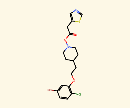 O=C(Cc1cncs1)ON1CCC(CCOc2cc(Br)ccc2Cl)CC1